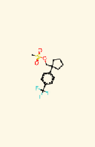 CS(=O)(=O)OCC1(c2ccc(C(F)(F)F)cc2)CCCC1